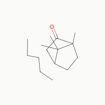 CC12CCC(CC1=O)C2(C)C.CCCCC